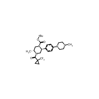 C[C@@H]1CN(C(=O)OC(C)(C)C)[C@@H](c2ccc(N3CCN(C)CC3)cc2)CN1C(=O)C1(C(F)(F)F)CC1